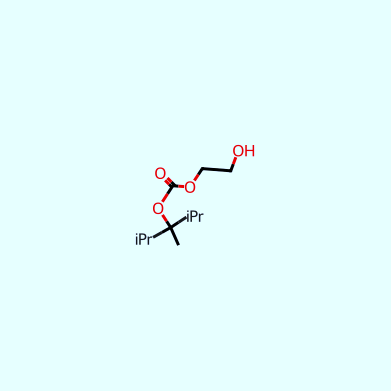 CC(C)C(C)(OC(=O)OCCO)C(C)C